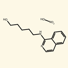 O=[N+]([O-])O.OCCCCCNc1nccc2ccccc12